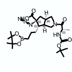 C[C@H](NC(=O)OC(C)(C)C)C(=O)N1C[C@@H]2C[C@@](N=[N+]=[N-])(C(=O)O)[C@@H](CCCB3OC(C)(C)C(C)(C)O3)[C@@H]2C1